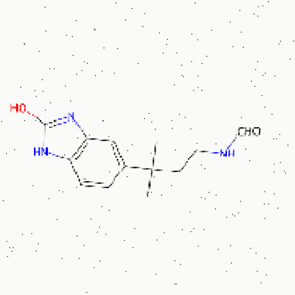 CC(C)(CCNC=O)c1ccc2[nH]c(O)nc2c1